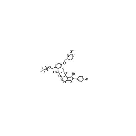 CSc1nccc(COc2ccc(CO[Si](C)(C)C(C)(C)C)cc2CC(Oc2ncnc3sc(-c4ccc(F)cc4)c(Br)c23)C(=O)O)n1